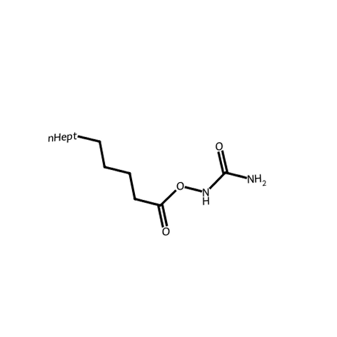 CCCCCCCCCCCC(=O)ONC(N)=O